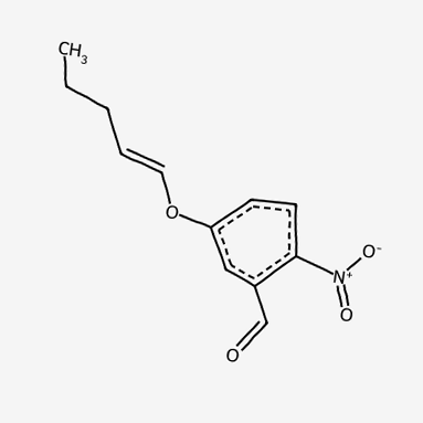 CCCC=COc1ccc([N+](=O)[O-])c(C=O)c1